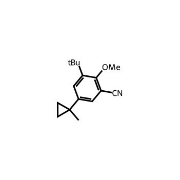 COc1c(C#N)cc(C2(C)CC2)cc1C(C)(C)C